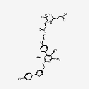 N#Cc1c(N)nc(SCc2csc(-c3ccc(Cl)cc3)n2)c(C#N)c1-c1ccc(OCCOC(=O)CC[C@H](NC(=O)CCC(=O)O)C(=O)O)cc1